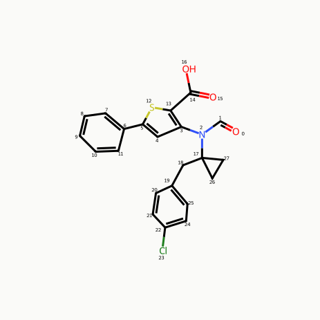 O=CN(c1cc(-c2ccccc2)sc1C(=O)O)C1(Cc2ccc(Cl)cc2)CC1